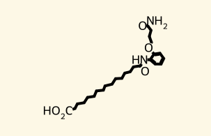 NC(=O)CCCOc1ccccc1NC(=O)CCCCCCCCCCCCCCC(=O)O